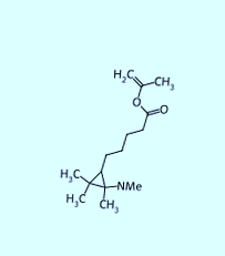 C=C(C)OC(=O)CCCCC1C(C)(C)C1(C)NC